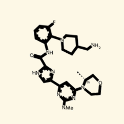 CNc1nc(-c2c[nH]c(C(=O)Nc3cccc(F)c3N3CCC(CN)CC3)n2)cc(N2CCOC[C@H]2C)n1